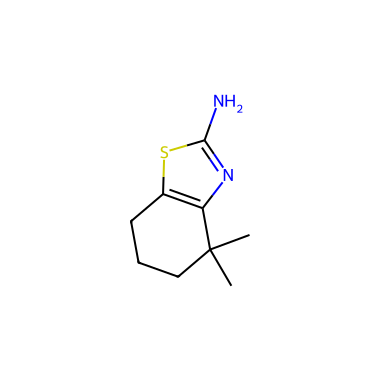 CC1(C)CCCc2sc(N)nc21